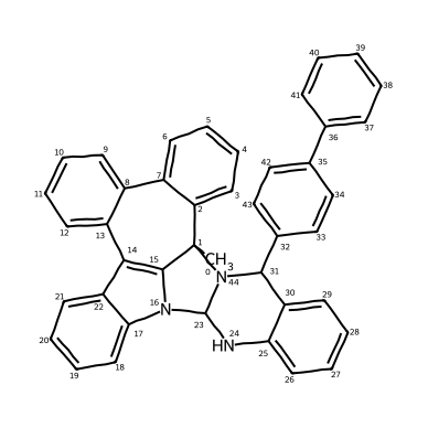 CC12c3ccccc3-c3ccccc3-c3c1n(c1ccccc31)C1Nc3ccccc3C(c3ccc(-c4ccccc4)cc3)N12